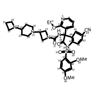 CCOc1ncccc1C1(NC(=O)N2CC(N3CCC(N4CCC4)CC3)C2)C(=O)N(S(=O)(=O)c2ccc(OC)cc2OC)c2ccc(C#N)cc21